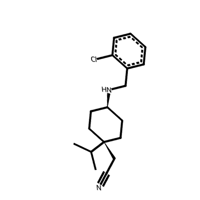 CC(C)[C@]1(CC#N)CC[C@@H](NCc2ccccc2Cl)CC1